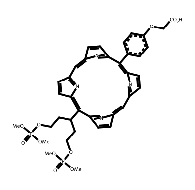 COP(=O)(OC)OCCC(CCOP(=O)(OC)OC)C1=C2C=CC(=N2)C=C2C=CC(=N2)C(c2ccc(OCC(=O)O)cc2)=C2C=CC(=N2)C=C2C=CC1=N2